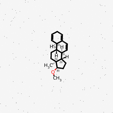 CO[C@@H]1CC[C@H]2[C@@H]3C=CC4=CCC=C[C@@H]4[C@H]3CC[C@]12C